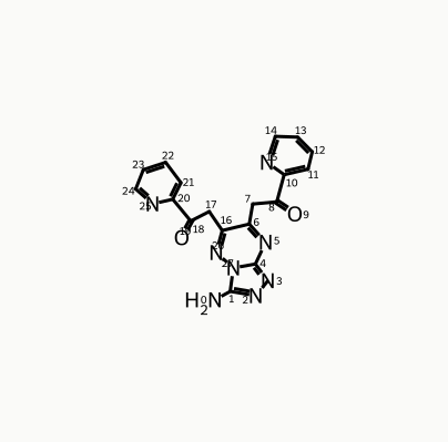 Nc1nnc2nc(CC(=O)c3ccccn3)c(CC(=O)c3ccccn3)nn12